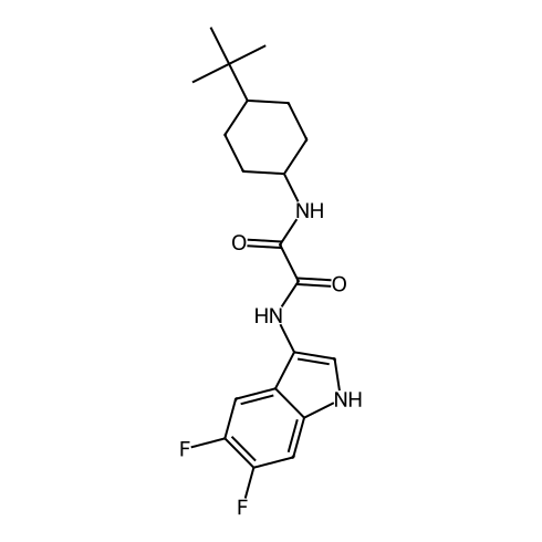 CC(C)(C)C1CCC(NC(=O)C(=O)Nc2c[nH]c3cc(F)c(F)cc23)CC1